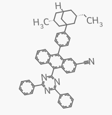 CC[C@H]1C[C@H]2C[C@@H](C)CC(c3ccc(-c4c5ccccc5c(-c5nc(-c6ccccc6)nc(-c6ccccc6)n5)c5ccc(C#N)cc45)cc3)(C2)C1